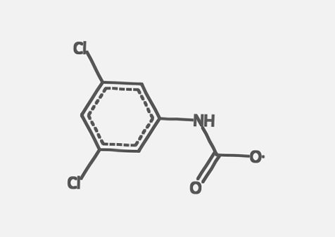 [O]C(=O)Nc1cc(Cl)cc(Cl)c1